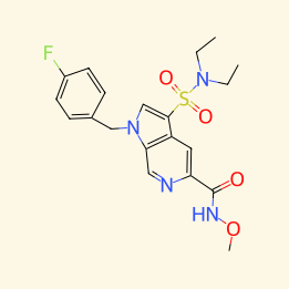 CCN(CC)S(=O)(=O)c1cn(Cc2ccc(F)cc2)c2cnc(C(=O)NOC)cc12